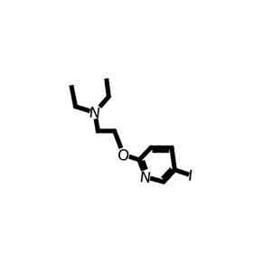 CCN(CC)CCOc1ccc(I)cn1